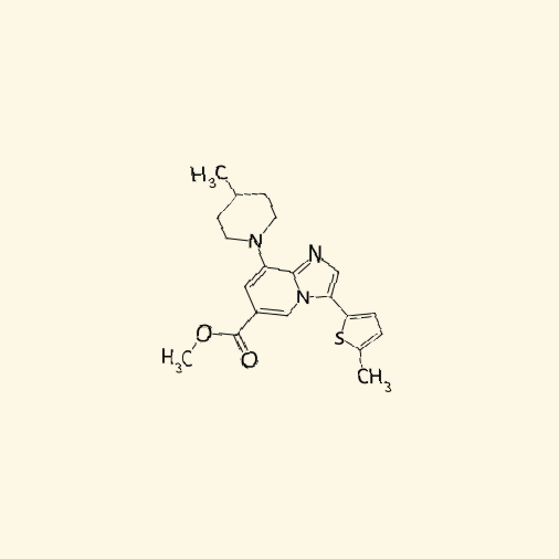 COC(=O)c1cc(N2CCC(C)CC2)c2ncc(-c3ccc(C)s3)n2c1